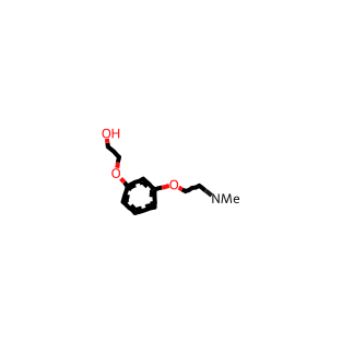 CNCCOc1cccc(OCCO)c1